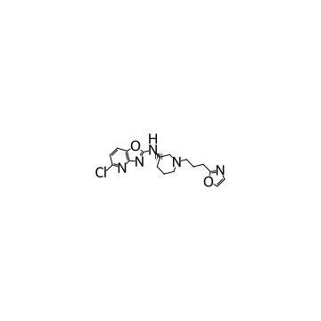 Clc1ccc2oc(N[C@@H]3CCCN(CCCc4ncco4)C3)nc2n1